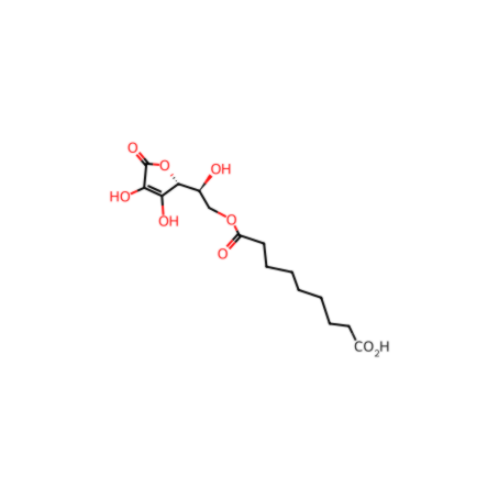 O=C(O)CCCCCCCC(=O)OC[C@H](O)[C@H]1OC(=O)C(O)=C1O